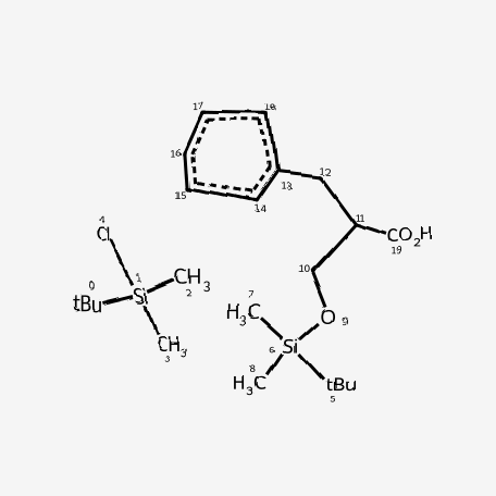 CC(C)(C)[Si](C)(C)Cl.CC(C)(C)[Si](C)(C)OCC(Cc1ccccc1)C(=O)O